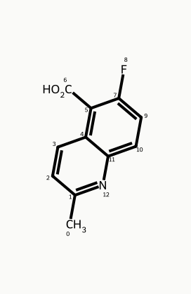 Cc1ccc2c(C(=O)O)c(F)ccc2n1